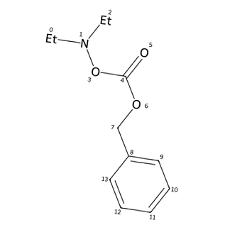 CCN(CC)OC(=O)OCc1ccccc1